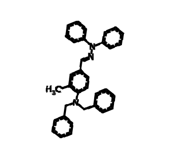 Cc1cc(/C=N/N(c2ccccc2)c2ccccc2)ccc1N(Cc1ccccc1)Cc1ccccc1